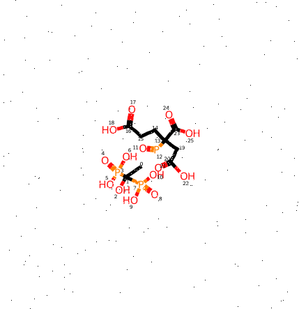 CC(O)(P(=O)(O)O)P(=O)(O)O.O=PC(CCC(=O)O)(CC(=O)O)C(=O)O